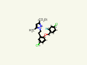 CCOC(=O)c1cc(C)n(CCc2cc(Cl)ccc2OCc2ccc(Cl)cc2F)n1